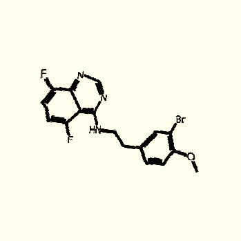 COc1ccc(CCNc2ncnc3c(F)ccc(F)c23)cc1Br